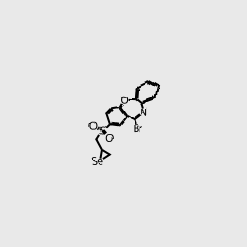 O=S(=O)(CC1C[Se]1)c1ccc2c(c1)C(Br)=Nc1ccccc1O2